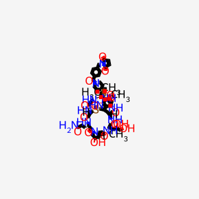 CC[C@H](C)[C@H]1CNCC(=O)N[C@H]2C[S+]([O-])c3[nH]c4c(CSC5CCN(C(=O)C6CCC(CN7C(=O)C=CC7=O)CC6)CC5)c(OC)ccc4c3C[C@H](NC(=O)[C@H]([C@@H](C)[C@@H](O)CO)NC(=O)[C@@H]3C[C@@H](O)CN3C(=O)[C@H](CCC(N)=O)NC2=O)C(=O)NCC(=O)N1